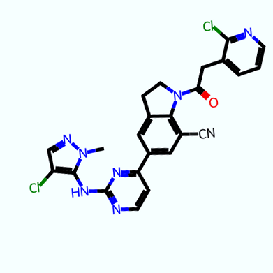 Cn1ncc(Cl)c1Nc1nccc(-c2cc(C#N)c3c(c2)CCN3C(=O)Cc2cccnc2Cl)n1